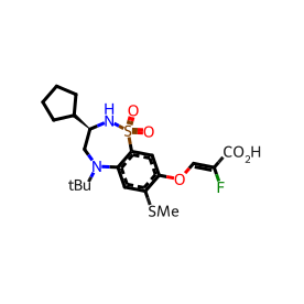 CSc1cc2c(cc1O/C=C(\F)C(=O)O)S(=O)(=O)N[C@H](C1CCCC1)CN2C(C)(C)C